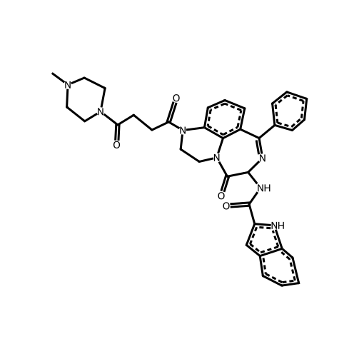 CN1CCN(C(=O)CCC(=O)N2CCN3C(=O)C(NC(=O)c4cc5ccccc5[nH]4)N=C(c4ccccc4)c4cccc2c43)CC1